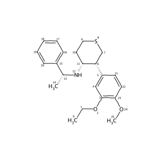 CCOc1cc([C@H]2CSCC[C@H]2N[C@H](C)c2ccccc2)ccc1OC